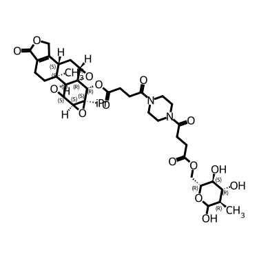 CC(C)[C@]12O[C@H]1[C@@H]1O[C@]13[C@]1(O[C@H]1C[C@H]1C4=C(CC[C@@]13C)C(=O)OC4)[C@@H]2OC(=O)CCC(=O)N1CCN(C(=O)CCC(=O)OC[C@H]2OC(O)[C@H](C)[C@@H](O)[C@@H]2O)CC1